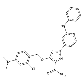 CN(C)c1ccc(COc2cn(-c3ccnc(Nc4ccccc4)c3)nc2C(N)=O)c(Cl)c1